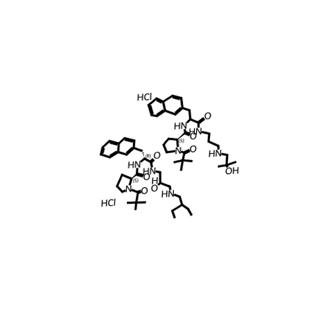 CC(C)(O)CNCCCNC(=O)C(Cc1ccc2ccccc2c1)NC(=O)[C@@H]1CCCN1C(=O)C(C)(C)C.CCC(CC)CNCC(O)CNC(=O)[C@@H](Cc1ccc2ccccc2c1)NC(=O)[C@@H]1CCCN1C(=O)C(C)(C)C.Cl.Cl